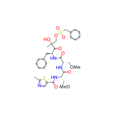 COC[C@H](NC(=O)c1cnc(C)s1)C(=O)N[C@@H](COC)C(=O)N[C@@H](Cc1ccccc1)C(=O)C(C)(O)COS(=O)(=O)Cc1ccccc1